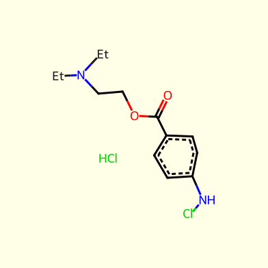 CCN(CC)CCOC(=O)c1ccc(NCl)cc1.Cl